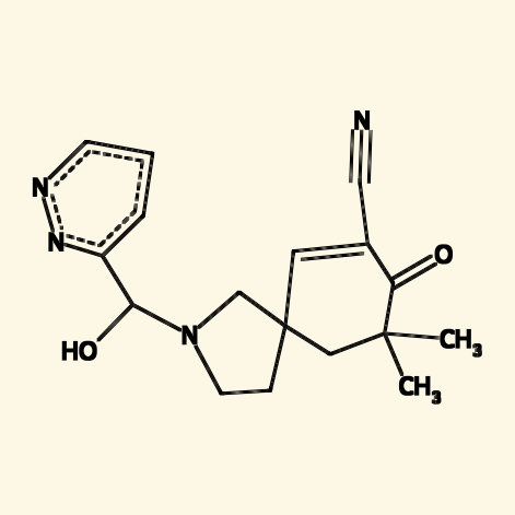 CC1(C)CC2(C=C(C#N)C1=O)CCN(C(O)c1cccnn1)C2